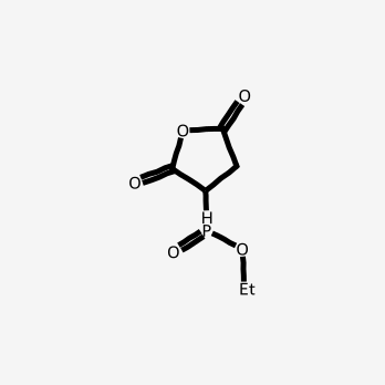 CCO[PH](=O)C1CC(=O)OC1=O